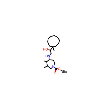 CC1CN(C(=O)OC(C)(C)C)CCC(NCC(O)C2(C)CCCCCCCCC2)C1C